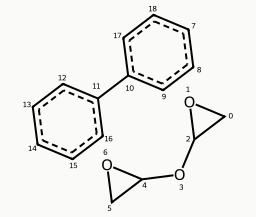 C1OC1OC1CO1.c1ccc(-c2ccccc2)cc1